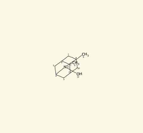 CC1C2CC3CC1CC(C)(C2)N3O